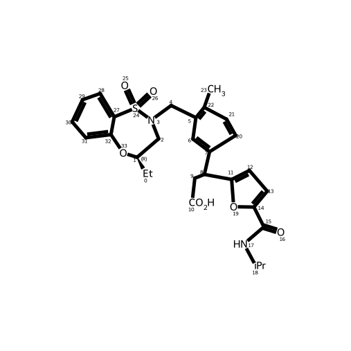 CC[C@@H]1CN(Cc2cc(C(CC(=O)O)c3ccc(C(=O)NC(C)C)o3)ccc2C)S(=O)(=O)c2ccccc2O1